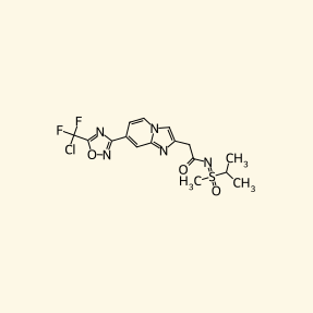 CC(C)S(C)(=O)=NC(=O)Cc1cn2ccc(-c3noc(C(F)(F)Cl)n3)cc2n1